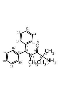 CN(C(=O)C(C)(C)N)C(c1ccccc1)c1ccccc1